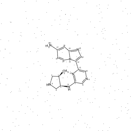 C[C@@H]1CNC[C@@H]1Nc1cncc(-c2cnc3cc(N)ccn23)n1